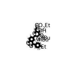 CCCCOC1C(c2ccc3c(c2)C(c2ccc(CC)cc2)OCO3)OC(COC(=O)OCC)C(O)C1OCCCC